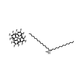 CCCCCCCCCCCCCC[NH+](CC)CCCCCCCCCCCCCC.Fc1c(F)c(F)c([B-](c2c(F)c(F)c(F)c(F)c2F)(c2c(F)c(F)c(F)c(F)c2F)c2c(F)c(F)c(F)c(F)c2F)c(F)c1F